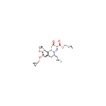 CCOC(=O)c1cn2c(cc1=O)-c1cc(OC)c(OCC3CC3)cc1CC2CC